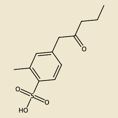 CCCC(=O)Cc1ccc(S(=O)(=O)O)c(C)c1